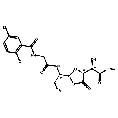 COC(=O)[C@H](O)[C@H]1OB([C@H](CC(C)C)NC(=O)CNC(=O)c2cc(Cl)ccc2Cl)OC1=O